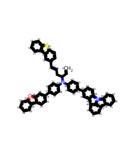 C=CC(C/C=C/c1ccc2sc3ccccc3c2c1)N(c1ccc(-c2ccc3c(c2)oc2ccccc23)cc1)c1ccc(-c2ccc3c(c2)c2cccc4c5ccccc5n3c42)cc1